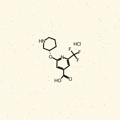 Cl.O=C(O)c1cc(O[C@H]2CCCNC2)nc(C(F)(F)F)c1